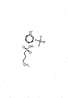 CCCCS(=O)(=O)O.F[B-](F)(F)F.c1cc[nH+]cc1